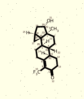 C[C@]12CC[C@H]3[C@@H](CCC4=C(C(F)(F)F)C(=O)CC[C@@H]43)[C@@]13C[C@H]3C[C@@H]2O